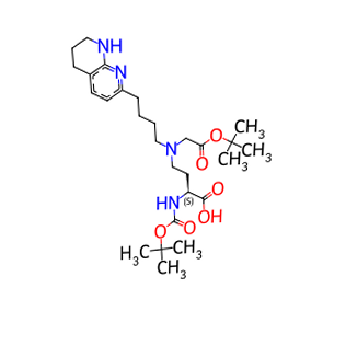 CC(C)(C)OC(=O)CN(CCCCc1ccc2c(n1)NCCC2)CC[C@H](NC(=O)OC(C)(C)C)C(=O)O